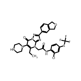 CCc1c(N2CCNCC2)c(=O)n2nc(-c3ccc4c(c3)COC4)nc2n1CC(=O)Nc1ccc(SC(F)(F)F)cc1Cl